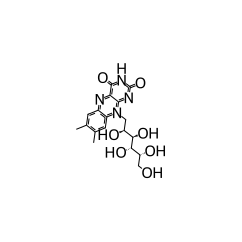 Cc1cc2nc3c(=O)[nH]c(=O)nc-3n(C[C@H](O)[C@@H](O)[C@@H](O)[C@H](O)CO)c2cc1C